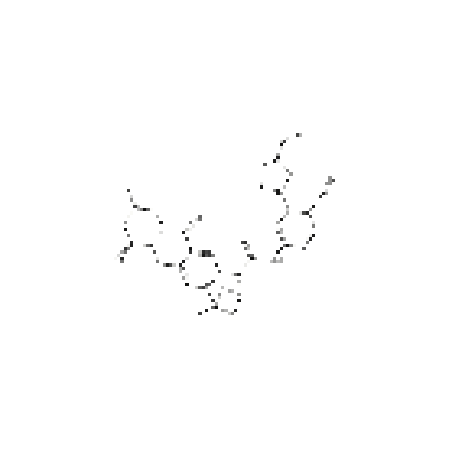 COC1CCN(c2cc(NC(=O)N3c4nc(C=O)c(CN5CCN(C)CC5=O)cc4C4(F)CC3C4)ncc2C#N)C1